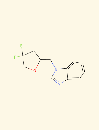 FC1(F)COC(Cn2cnc3ccccc32)C1